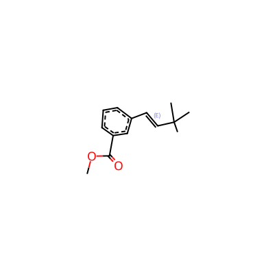 COC(=O)c1cccc(/C=C/C(C)(C)C)c1